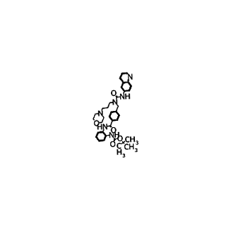 CC(C)(C)OC(=O)Nc1ccccc1NC(=O)c1ccc(CN(CCCN2CCOCC2)C(=O)Nc2ccc3ncccc3c2)cc1